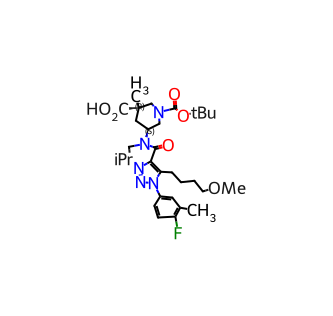 COCCCCc1c(C(=O)N(CC(C)C)[C@@H]2CN(C(=O)OC(C)(C)C)C[C@](C)(C(=O)O)C2)nnn1-c1ccc(F)c(C)c1